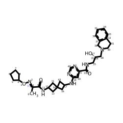 C/C(=N\OC1CCCC1)C(=O)NC1CC2(C1)CC(Nc1cc(C(=O)NC[C@H](O)CN3CCc4ccccc4C3)ncn1)C2